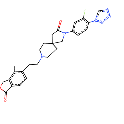 Cc1c(CCN2CCC3(CC2)CC(=O)N(c2ccc(-n4cnnn4)c(F)c2)C3)ccc2c1COC2=O